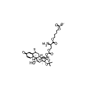 CC1(C)O[C@@H]2C[C@H]3[C@@H]4C[C@H](F)C5=CC(=O)C=C[C@]5(C)[C@H]4[C@@H](O)C[C@]3(C)[C@]2(C(=O)COC(=O)OCC(N)C(=O)OCCCCO[N+](=O)[O-])O1